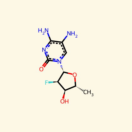 C[C@H]1O[C@@H](n2cc(N)c(N)nc2=O)[C@H](F)[C@@H]1O